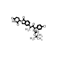 CN(C(=O)C(NC(=O)OC(C)(C)C)c1ccc(Cl)cc1)c1ccc2c(c1)CN(C1CCC(=O)NC1=O)C2=O